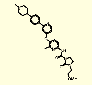 COCCN1CCN(C(=O)Nc2ccc(Oc3ccnc(-c4ccc(C5CCN(C)CC5)cc4)c3)c(C)n2)C1=O